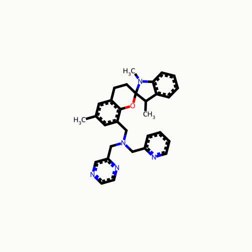 Cc1cc2c(c(CN(Cc3ccccn3)Cc3cnccn3)c1)OC1(CC2)C(C)c2ccccc2N1C